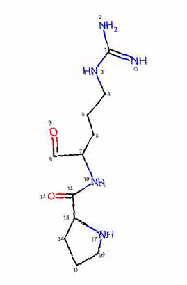 N=C(N)NCCCC(C=O)NC(=O)C1CCCN1